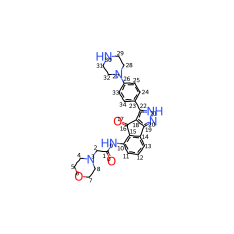 O=C(CN1CCOCC1)Nc1cccc2c1C(=O)c1c-2n[nH]c1-c1ccc(N2CCNCC2)cc1